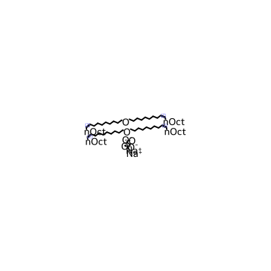 CCCCCCCC/C=C\CCCCCCCCOCCCCCCCC/C=C\CCCCCCCC.CCCCCCCC/C=C\CCCCCCCCOCCCCCCCC/C=C\CCCCCCCC.O=S(=O)([O-])[O-].[Na+].[Na+]